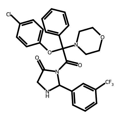 O=C1CNC(c2cccc(C(F)(F)F)c2)N1C(=O)C(Oc1ccc(Cl)cc1)(c1ccccc1)N1CCOCC1